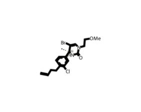 C=CCCc1ccc([C@]2(C)NC(=O)N(CCOC)C=C2Br)cc1Cl